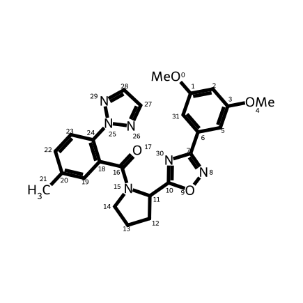 COc1cc(OC)cc(-c2noc(C3CCCN3C(=O)c3cc(C)ccc3-n3nccn3)n2)c1